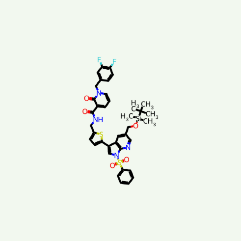 CC(C)(C)[Si](C)(C)OCc1cnc2c(c1)c(-c1ccc(CNC(=O)c3cccn(Cc4ccc(F)c(F)c4)c3=O)s1)cn2S(=O)(=O)c1ccccc1